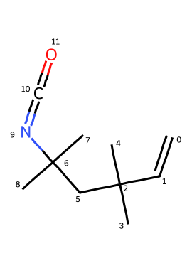 C=CC(C)(C)CC(C)(C)N=C=O